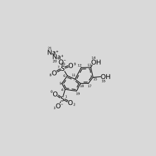 O=S(=O)([O-])c1cc(S(=O)(=O)[O-])c2cc(O)c(O)cc2c1.[Na+].[Na+]